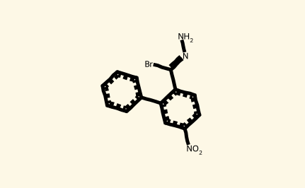 NN=C(Br)c1ccc([N+](=O)[O-])cc1-c1ccccc1